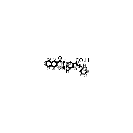 O=C(NC[C@@H]1Cc2c(sc(NC3CCCCO3)c2C(=O)O)CN1)c1cc2ccccc2cc1O